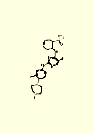 Cc1cc(Nc2ncc(F)c(N[C@H]3CC=CC[C@H]3C(N)=O)n2)ccc1N1CCN(C)CC1